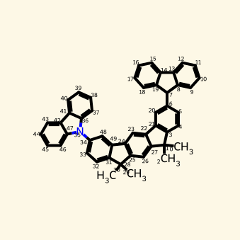 CC1(C)c2ccc(C3c4ccccc4-c4ccccc43)cc2-c2cc3c(cc21)C(C)(C)c1ccc(-n2c4ccccc4c4ccccc42)cc1-3